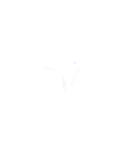 N#CB(C#N)C#N.N#[C][Na]